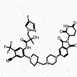 CC(O)(Cn1cc(F)cn1)C(=O)Nc1cc(C(F)(F)F)c(C#N)cc1N1CCC(CN2CCN(c3ccc4c(c3)C(=O)N(C3CCC(=O)NC3=O)C4=O)CC2)CC1